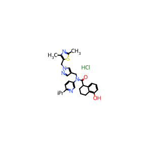 Cc1nc(C)c(Cn2cc(CN(C(=O)C3CCCc4c(O)cccc43)c3ccc(C(C)C)nc3)cn2)s1.Cl